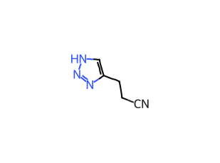 N#CCCc1c[nH]nn1